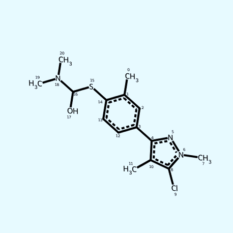 Cc1cc(-c2nn(C)c(Cl)c2C)ccc1SC(O)N(C)C